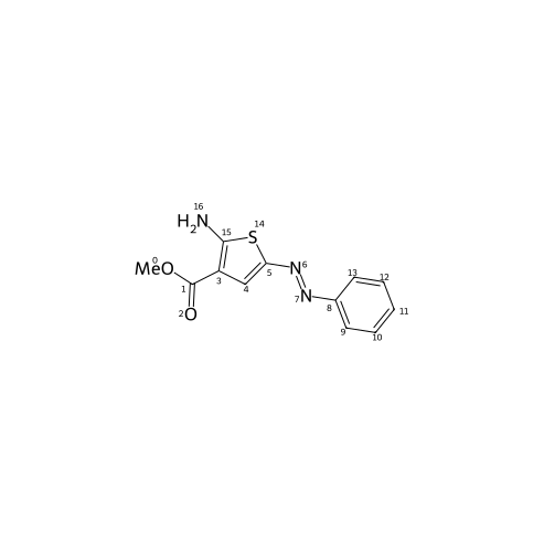 COC(=O)c1cc(/N=N/c2ccccc2)sc1N